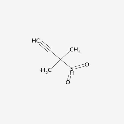 C#CC([CH2])(C)[SH](=O)=O